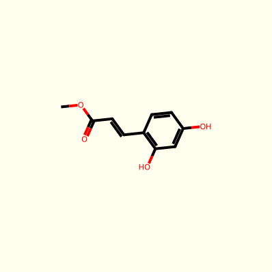 COC(=O)/C=C/c1ccc(O)cc1O